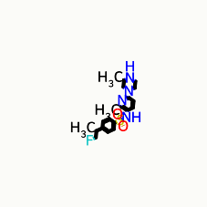 Cc1nc(N2CCN[C@@H](C)C2)ccc1NS(=O)(=O)c1ccc([C@@H](C)CF)cc1